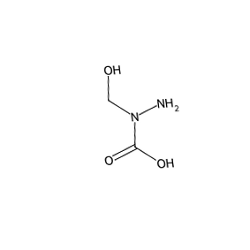 NN(CO)C(=O)O